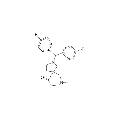 CN1CCC(=O)C2(CCN(C(c3ccc(F)cc3)c3ccc(F)cc3)C2)C1